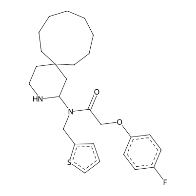 O=C(COc1ccc(F)cc1)N(Cc1cccs1)C1CC2(CCCCCCCC2)CCN1